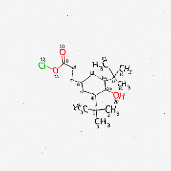 CC(C)(C)C1CC(CCC(=O)OCl)CC(C(C)(C)C)C1O